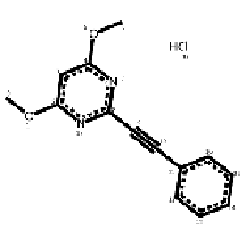 COc1cc(OC)nc(C#Cc2ccccc2)n1.Cl